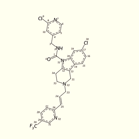 O=C(NCc1ccnc(Cl)c1)n1c2c(c3ccc(Cl)cc31)CN(CC=Cc1ccc(C(F)(F)F)cn1)CC2